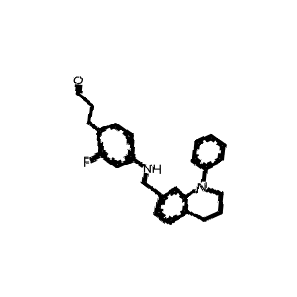 O=CCCc1ccc(NCc2ccc3c(c2)N(c2ccccc2)CCC3)cc1F